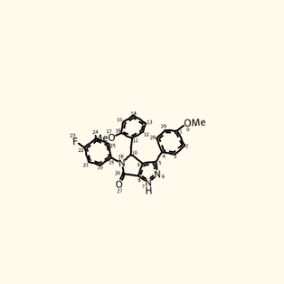 COc1ccc(-c2n[nH]c3c2C(c2ccccc2OC)N(c2ccc(F)cc2)C3=O)cc1